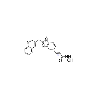 Cn1c(Cc2cnc3ccccc3c2)nc2cc(/C=C/C(=O)NO)ccc21